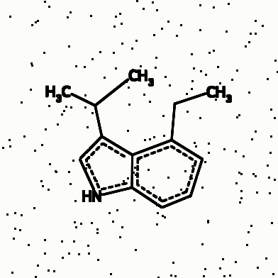 CCc1cccc2[nH]cc(C(C)C)c12